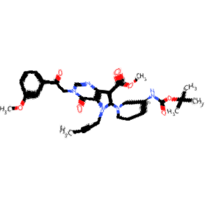 CC#CCn1c(N2CCC[C@H](NC(=O)OC(C)(C)C)C2)c(C(=O)OC)c2ncn(CC(=O)c3cccc(OC)c3)c(=O)c21